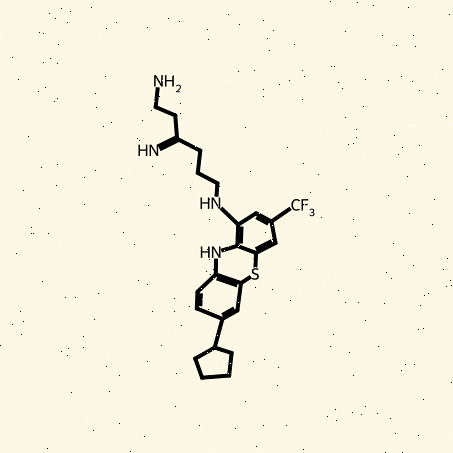 N=C(CCN)CCCNc1cc(C(F)(F)F)cc2c1Nc1ccc(C3CCCC3)cc1S2